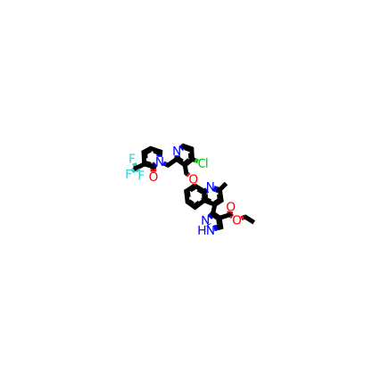 CCOC(=O)c1c[nH]nc1-c1cc(C)nc2c(OCc3c(Cl)ccnc3Cn3cccc(C(F)(F)F)c3=O)cccc12